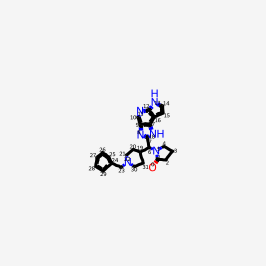 O=C1CCCN1C(c1nc2cnc3[nH]ccc3c2[nH]1)C1CCN(Cc2ccccc2)CC1